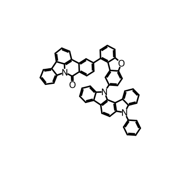 O=c1c2ccc(-c3cccc4oc5ccc(-n6c7ccccc7c7ccc8c(c9ccccc9n8-c8ccccc8)c76)cc5c34)cc2c2cccc3c4ccccc4n1c23